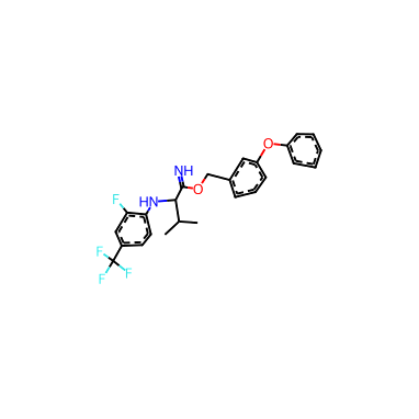 CC(C)C(Nc1ccc(C(F)(F)F)cc1F)C(=N)OCc1cccc(Oc2ccccc2)c1